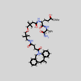 COC(=O)CC[C@H](NC(=O)CC(C)(C)COCC(C)(C)CNC(=O)CCC(=O)N1Cc2ccccc2/C=C(/C)c2ccccc21)C(=O)N[C@H](C(N)=O)C(C)C